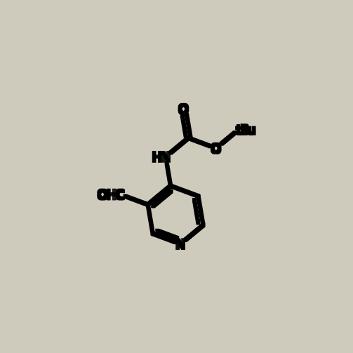 CC(C)(C)OC(=O)Nc1ccncc1C=O